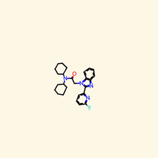 O=C(Cn1c(-c2cccc(F)n2)nc2ccccc21)N(C1CCCCC1)C1CCCCC1